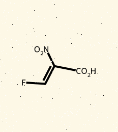 O=C(O)C(=CF)[N+](=O)[O-]